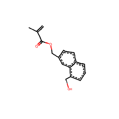 C=C(C)C(=O)OCc1ccc2cccc(CO)c2c1